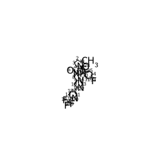 C[C@H]1CC[C@@H](C(=O)NCc2cc(-c3ccc(C(F)(F)F)nc3)ncn2)N1S(=O)(=O)c1ccc(F)cc1